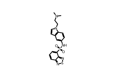 CN(C)CCn1ccc2cc(NS(=O)(=O)c3cccc4nsnc34)ccc21